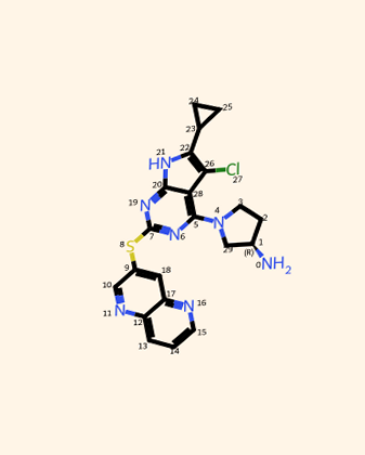 N[C@@H]1CCN(c2nc(Sc3cnc4cccnc4c3)nc3[nH]c(C4CC4)c(Cl)c23)C1